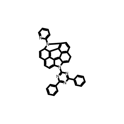 C1=CC2c3c4c(ccc5c4c4c(n(-c6nc(-c7ccccc7)nc(-c7ccccc7)n6)c6ccc1c3c46)=CC5)N2c1ccccn1